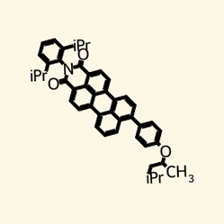 CC(C)CC(C)Oc1ccc(-c2ccc3c4ccc5c6c(ccc(c7cccc2c73)c64)C(=O)N(c2c(C(C)C)cccc2C(C)C)C5=O)cc1